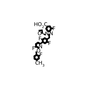 Cc1ccc(COc2nc(-c3cc(F)c(Cc4nc5c(F)cc(C(=O)O)cc5n4C[C@@H]4CCO4)cc3F)ccc2F)c(F)c1